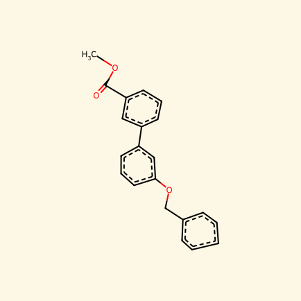 COC(=O)c1cccc(-c2cccc(OCc3ccccc3)c2)c1